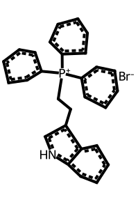 [Br-].c1ccc([P+](CCc2c[nH]c3ccccc23)(c2ccccc2)c2ccccc2)cc1